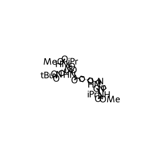 COC(=O)N[C@H](C(=O)N1CC2(CCN(C(=O)OC(C)(C)C)CC2)CC1C(=O)NCC(=O)C1=CC[C@@H](c2ccc([C@H]3CN=C([C@@H]4CCCN4C(=O)[C@@H](NC(=O)OC)C(C)C)N3)cc2)C=C1)C(C)C